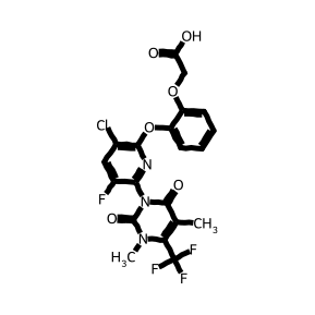 Cc1c(C(F)(F)F)n(C)c(=O)n(-c2nc(Oc3ccccc3OCC(=O)O)c(Cl)cc2F)c1=O